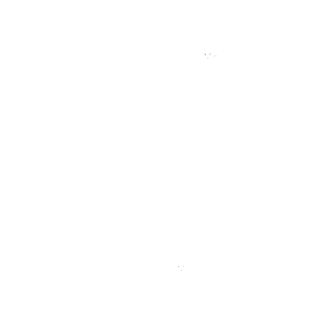 COC(=O)COc1cc(Cl)c(Cc2ccc(O)c(-c3cccc(OC)c3)c2)c(Cl)c1